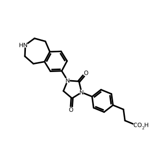 O=C(O)CCc1ccc(N2C(=O)CN(c3ccc4c(c3)CCNCC4)C2=O)cc1